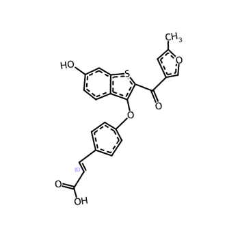 Cc1cc(C(=O)c2sc3cc(O)ccc3c2Oc2ccc(/C=C/C(=O)O)cc2)co1